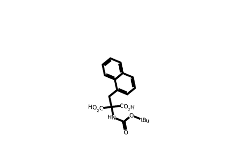 CC(C)(C)OC(=O)NC(Cc1cccc2ccccc12)(C(=O)O)C(=O)O